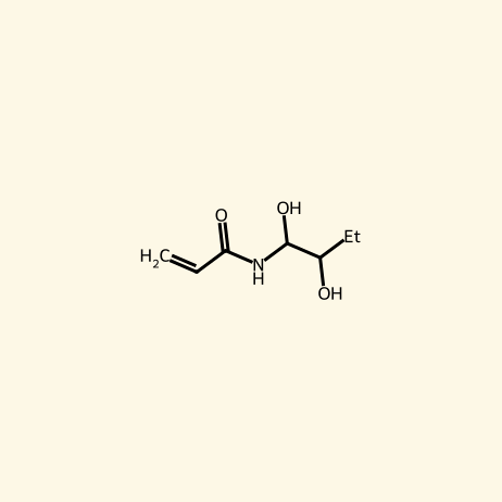 C=CC(=O)NC(O)C(O)CC